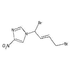 O=[N+]([O-])c1cn(C(Br)C=CCBr)cn1